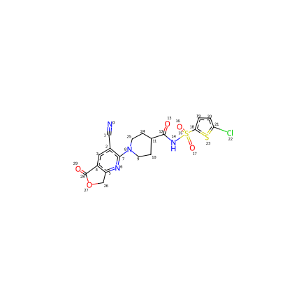 N#Cc1cc2c(nc1N1CCC(C(=O)NS(=O)(=O)c3ccc(Cl)s3)CC1)COC2=O